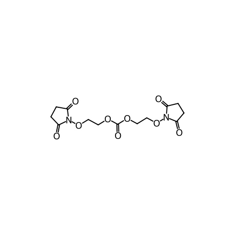 O=C(OCCON1C(=O)CCC1=O)OCCON1C(=O)CCC1=O